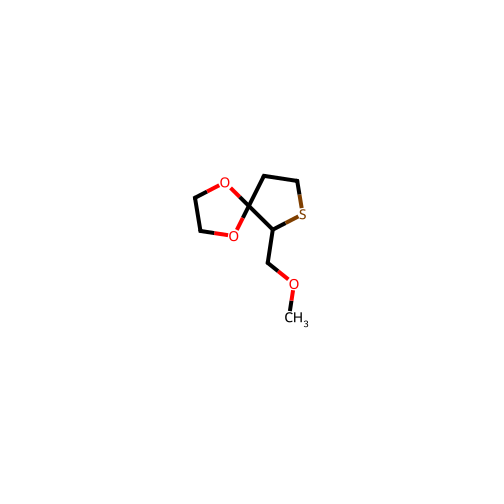 COCC1SCCC12OCCO2